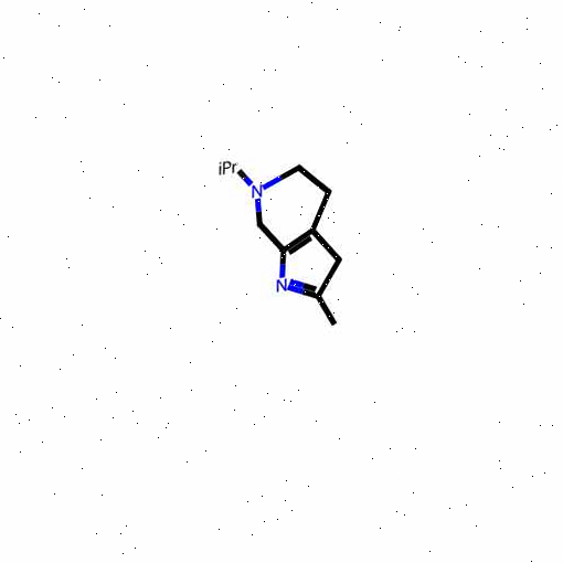 CC1=NC2=C(CCN(C(C)C)C2)C1